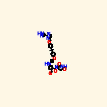 CN(C(=O)c1cc(N[C@H]2C[C@@H](Oc3ccc(C(C)(C)c4ccc(OCc5ccnc(-c6cn[nH]c6)n5)cc4)cc3)C2)ccc1C=O)C1CCC(=O)NC1=O